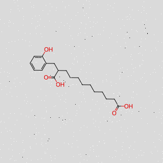 O=C(O)CCCCCCCCCC(Cc1ccccc1O)C(=O)O